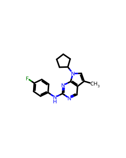 Cc1cn(C2CCCC2)c2nc(Nc3ccc(F)cc3)ncc12